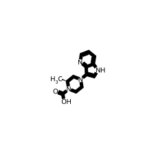 C[C@@H]1CN(c2c[nH]c3cccnc23)CCN1C(=O)O